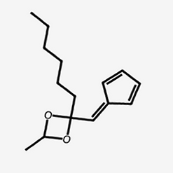 CCCCCCC1(C=C2C=CC=C2)OC(C)O1